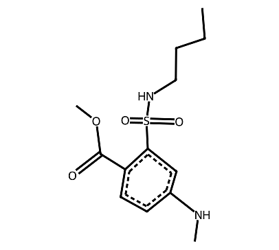 CCCCNS(=O)(=O)c1cc(NC)ccc1C(=O)OC